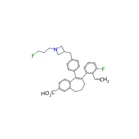 C=Cc1c(F)cccc1C1=C(c2ccc(CC3CN(CCCF)C3)cc2)c2ccc(C(=O)O)cc2CCC1